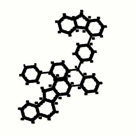 c1ccc(-c2ccc(N(c3ccc(-c4cccc5oc6ccccc6c45)cc3)c3ccccc3-c3ccc4oc5c6ccccc6ccc5c4c3)cc2)cc1